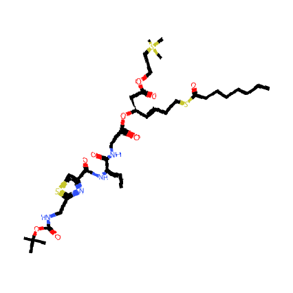 C/C=C(\NC(=O)c1csc(CNC(=O)OC(C)(C)C)n1)C(=O)NCC(=O)O[C@H](/C=C/CCSC(=O)CCCCCCC)CC(=O)OCCS(C)(C)C